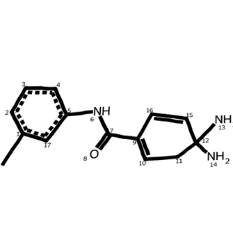 Cc1cccc(NC(=O)C2=CCC(N)(N)C=C2)c1